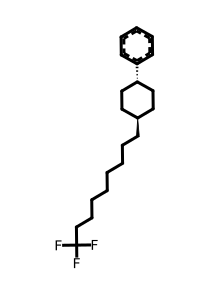 FC(F)(F)CCCCCCCC[C@H]1CC[C@H](c2ccccc2)CC1